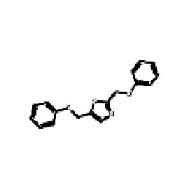 [c]1nc(COc2ccccc2)sc1COc1ccccc1